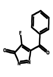 O=C1N=NC(C(=O)c2ccccc2)=C1F